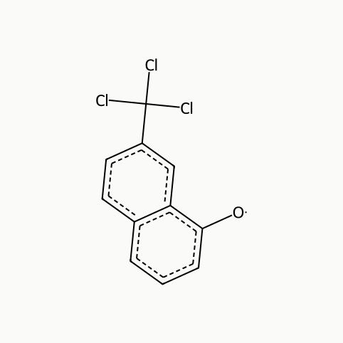 [O]c1cccc2ccc(C(Cl)(Cl)Cl)cc12